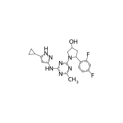 Cc1nc(Nc2cc(C3CC3)[nH]n2)nc(N2CC(O)CC2c2ccc(F)cc2F)n1